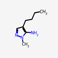 CCCCc1cnn(C)c1N